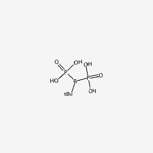 CC(C)(C)B(P(=O)(O)O)P(=O)(O)O